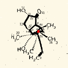 C=C[C@]1(C)CC[C@@]2(C)C3C(=O)[C@@H](O)C[C@@]3(CC[C@H]2C)[C@@H](C)[C@@H]1O